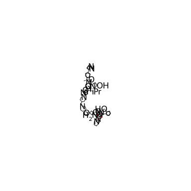 CC(C)[C@H](C(=O)N1C[C@H](O)C[C@H]1C(=O)N[C@@H](C)c1ccc(-c2ccnn2C)cc1)c1cc(N2CCC(CN3CCC(O[C@H]4C[C@H](Oc5cc(N6C7CCC6CN(c6cc(-c8ccccc8O)nnc6N)C7)ccn5)C4)CC3)CC2)no1